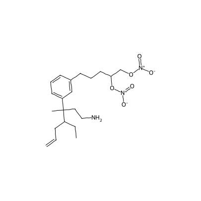 C=CCC(CC)C(C)(CCN)c1cccc(CCCC(CO[N+](=O)[O-])O[N+](=O)[O-])c1